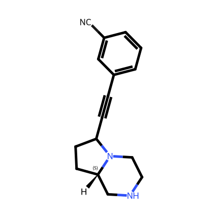 N#Cc1cccc(C#CC2CC[C@H]3CNCCN23)c1